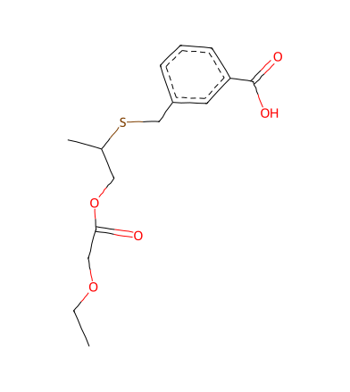 CCOCC(=O)OCC(C)SCc1cccc(C(=O)O)c1